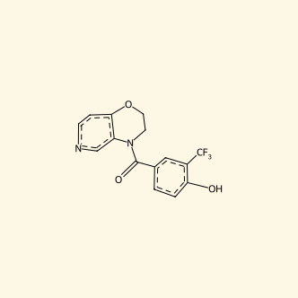 O=C(c1ccc(O)c(C(F)(F)F)c1)N1CCOc2ccncc21